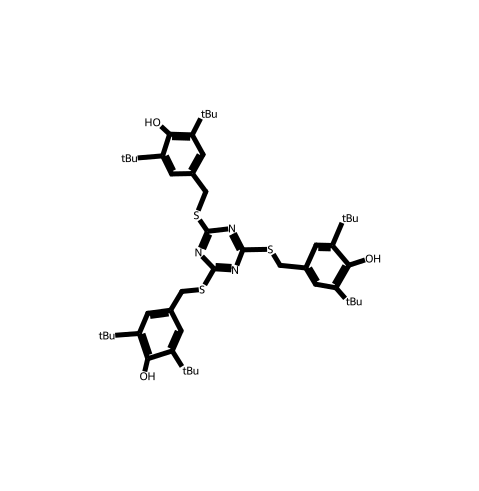 CC(C)(C)c1cc(CSc2nc(SCc3cc(C(C)(C)C)c(O)c(C(C)(C)C)c3)nc(SCc3cc(C(C)(C)C)c(O)c(C(C)(C)C)c3)n2)cc(C(C)(C)C)c1O